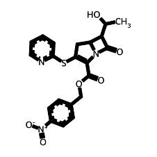 CC(O)C1C(=O)N2C(C(=O)OCc3ccc([N+](=O)[O-])cc3)=C(Sc3ccccn3)CC12